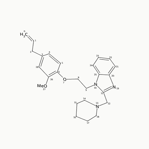 C=CCc1ccc(OCCn2c(CN3CCCCC3)nc3ccccc32)c(OC)c1